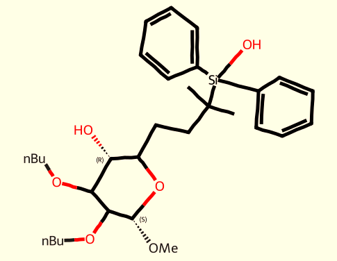 CCCCOC1C(OCCCC)[C@H](O)C(CCC(C)(C)[Si](O)(c2ccccc2)c2ccccc2)O[C@@H]1OC